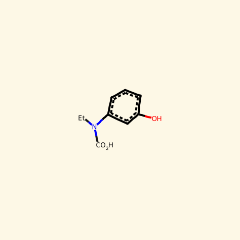 CCN(C(=O)O)c1cccc(O)c1